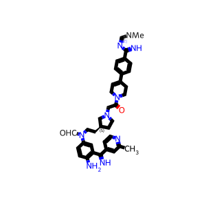 CN/C=N\C(=N)c1ccc(C2=CCN(C(=O)CN3CC[C@@H](CCN(C=O)c4ccc(N)c(C(=N)c5ccnc(C)c5)c4)C3)CC2)cc1